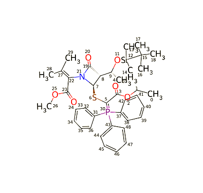 CCOC(=O)C(S[C@@H]1[C@@H]([C@@H](C)O[Si](C)(C)C(C)(C)C)C(=O)N1C(C(=O)OC)=C(C)C)=P(c1ccccc1)(c1ccccc1)c1ccccc1